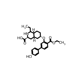 CCOC(=O)c1ccc(-c2ccccc2)cc1O[C@H]1CC[C@H]2C(CC)N[C@H](C(=O)O)C[C@H]2C1.Cl